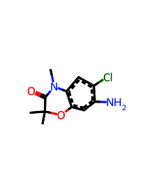 CN1C(=O)C(C)(C)Oc2cc(N)c(Cl)cc21